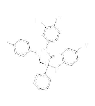 COc1ccc(N[C@@](CSc2ccc(F)cc2)(C(=O)Nc2ccc(C#N)c(C(F)(F)F)c2)c2ccccc2)cc1